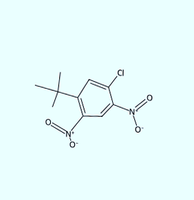 CC(C)(C)c1cc(Cl)c([N+](=O)[O-])cc1[N+](=O)[O-]